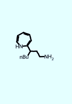 CCCCC(CCN)C1=CC=CC=CN1